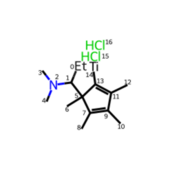 CCC(N(C)C)C1(C)C(C)=C(C)C(C)=[C]1[Ti].Cl.Cl